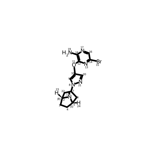 CN1[C@@H]2CC[C@H]1CC(n1cc(Oc3nc(Br)cnc3N)cn1)C2